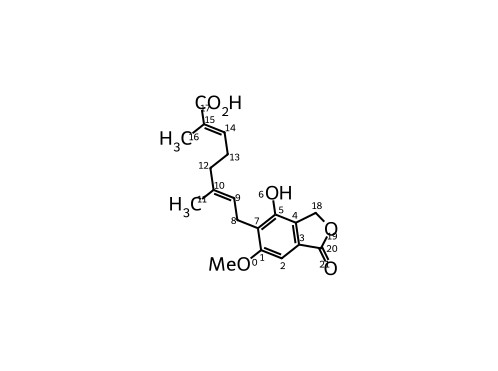 COc1cc2c(c(O)c1C/C=C(\C)CC/C=C(\C)C(=O)O)COC2=O